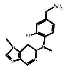 CCc1cc(CN)ccc1N(C)[C@@H]1Cc2c(ncn2C)C=N1